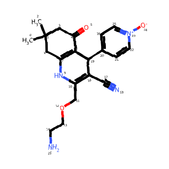 CC1(C)CC(=O)C2=C(C1)NC(COCCN)=C(C#N)C2c1cc[n+]([O-])cc1